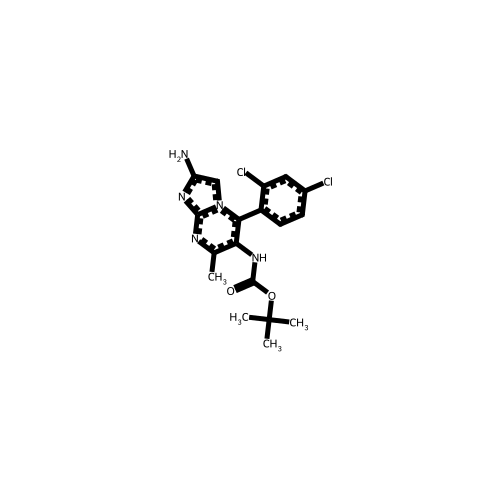 Cc1nc2nc(N)cn2c(-c2ccc(Cl)cc2Cl)c1NC(=O)OC(C)(C)C